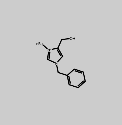 CCCC[n+]1cn(Cc2ccccc2)cc1CO